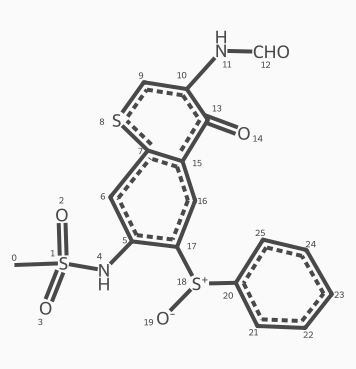 CS(=O)(=O)Nc1cc2scc(NC=O)c(=O)c2cc1[S+]([O-])c1ccccc1